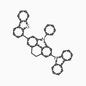 c1ccc(-n2c3cc(-c4cccc5c4sc4ccccc45)cc4c3c3c(cc(-n5c6ccccc6c6ccccc65)cc32)CC4)cc1